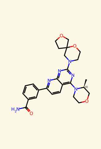 C[C@H]1COCCN1c1nc(N2CCOC3(CCOC3)C2)nc2nc(-c3cccc(C(N)=O)c3)ccc12